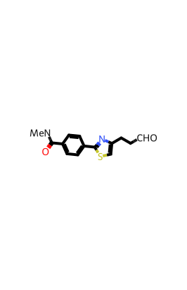 CNC(=O)c1ccc(-c2nc(CCC=O)cs2)cc1